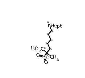 CCCCCCCCCCCCC(C)(C(=O)O)P(=O)=O